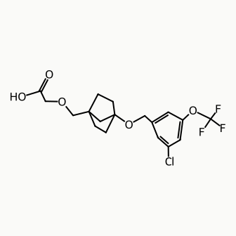 O=C(O)COCC12CCC(OCc3cc(Cl)cc(OC(F)(F)F)c3)(CC1)C2